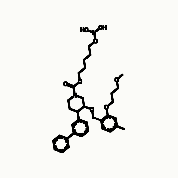 COCCCOc1cc(C)ccc1COC1CN(C(=O)OCCCCCON(O)O)CC[C@@H]1c1cccc(-c2ccccc2)c1